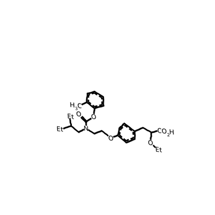 CCOC(Cc1ccc(OCCN(CC(CC)CC)C(=O)Oc2ccccc2C)cc1)C(=O)O